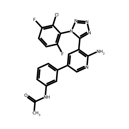 CC(=O)Nc1cccc(-c2cnc(N)c(-c3nnnn3-c3c(F)ccc(F)c3Cl)c2)c1